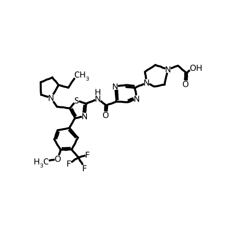 CCC1CCCN1Cc1sc(NC(=O)c2cnc(N3CCN(CC(=O)O)CC3)cn2)nc1-c1ccc(OC)c(C(F)(F)F)c1